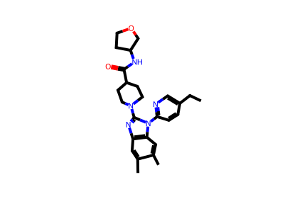 CCc1ccc(-n2c(N3CCC(C(=O)NC4CCOC4)CC3)nc3cc(C)c(C)cc32)nc1